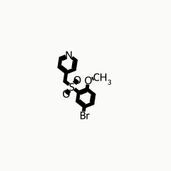 COc1ccc(Br)cc1S(=O)(=O)Cc1ccncc1